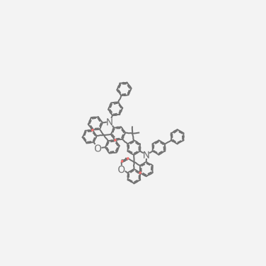 CC1(C)c2cc3c(cc2-c2cc4c(cc21)N(c1ccc(-c2ccccc2)cc1)c1ccccc1C41c2ccccc2Oc2ccccc21)C1(c2ccccc2Oc2ccccc21)c1ccccc1N3c1ccc(-c2ccccc2)cc1